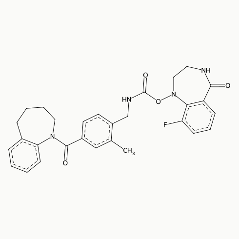 Cc1cc(C(=O)N2CCCCc3ccccc32)ccc1CNC(=O)ON1CCNC(=O)c2cccc(F)c21